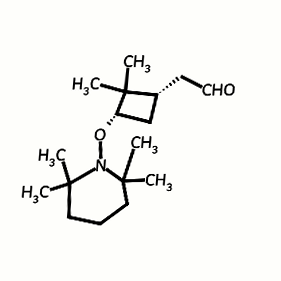 CC1(C)[C@H](CC=O)C[C@@H]1ON1C(C)(C)CCCC1(C)C